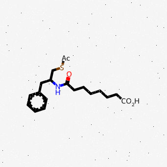 CC(=O)SCC(Cc1ccccc1)NC(=O)CCCCCCC(=O)O